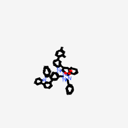 Cc1ccc(-c2ccc3c(c2)c2ccccc2n3-c2ccc(-c3cccc4c5ccccc5n(-c5ccccc5)c34)cc2-c2nc(-c3ccccc3)nc(-c3ccccc3)n2)c(C)c1